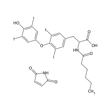 CCCCCC(=O)NC(Cc1cc(I)c(Oc2cc(I)c(O)c(I)c2)c(I)c1)C(=O)O.O=C1C=CC(=O)N1